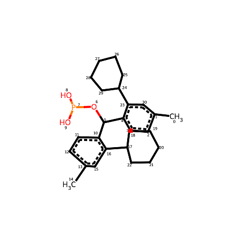 Cc1ccc(C(OP(O)O)c2ccc(C)cc2C2CCCCC2)c(C2CCCCC2)c1